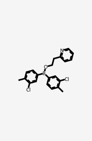 Cc1ccc(B(OCCc2ccccn2)c2ccc(C)c(Cl)c2)cc1Cl